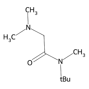 CN(C)CC(=O)N(C)C(C)(C)C